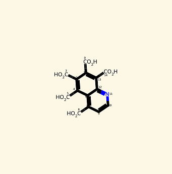 O=C(O)c1c(C(=O)O)c(C(=O)O)c2c(C(=O)O)ccnc2c1C(=O)O